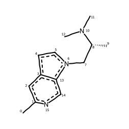 Cc1cc2ccn(C[C@@H](C)N(C)C)c2cn1